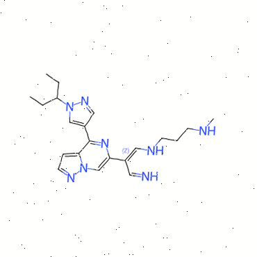 CCC(CC)n1cc(-c2nc(/C(C=N)=C/NCCCNC)cn3nccc23)cn1